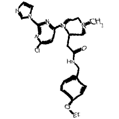 CCOc1ccc(CNC(=O)CC2CN(C)CCN2c2cc(Cl)nc(-n3ccnc3)n2)cc1